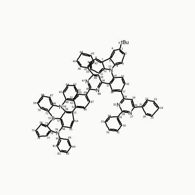 CC(C)(C)c1ccc2c(c1)c1ccccc1n2-c1ccc(-c2cc(-c3ccccc3)nc(-c3ccccc3)n2)cc1-c1cc(-c2ccccc2)nc(-c2ccc(-c3ccc4c5c3N(c3ccccc3)c3ccccc3B5c3ccccc3N4c3ccccc3)cc2)n1